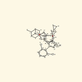 CC1C2CC(NCc3c(-c4c(Cl)cccc4Cl)noc3C3CC3)CC1N2c1nc2c(C3CC3)cc(C(=O)O)cc2s1